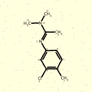 C/C(=N\c1ccc(C)c(Cl)c1)N(C)C